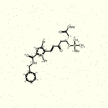 COC(=O)C[C@@H](CC(=O)/C=C/c1c(Br)nc(C(=O)NCc2ccccc2)n1C(C)C)O[Si](C)(C)C(C)(C)C